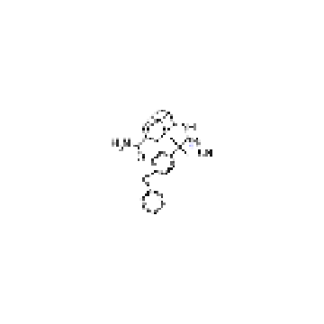 CC(C)(/C(=N\C#N)NC1C2CC3CC1CC(C(N)=O)(C3)C2)c1ccc(Oc2ccccc2)cc1